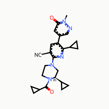 Cn1ncc(-c2cc(C#N)c(N3CCN(C(=O)C4CC4)[C@H](C4CC4)C3)nc2C2CC2)cc1=O